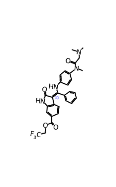 CN(C)CC(=O)N(C)c1ccc(N/C(=C2\C(=O)Nc3cc(C(=O)OCC(F)(F)F)ccc32)c2ccccc2)cc1